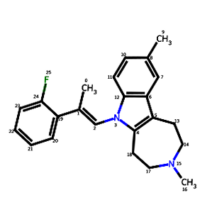 CC(=Cn1c2c(c3cc(C)ccc31)CCN(C)CC2)c1ccccc1F